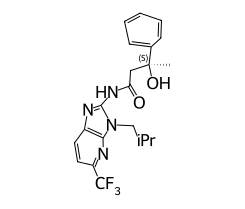 CC(C)Cn1c(NC(=O)C[C@](C)(O)c2ccccc2)nc2ccc(C(F)(F)F)nc21